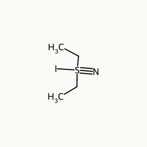 CCS(#N)(I)CC